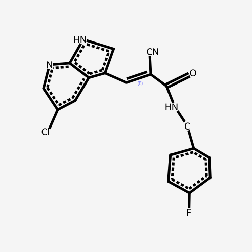 N#C/C(=C\c1c[nH]c2ncc(Cl)cc12)C(=O)NCc1ccc(F)cc1